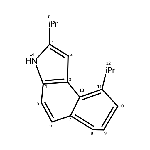 CC(C)c1cc2c(ccc3cccc(C(C)C)c32)[nH]1